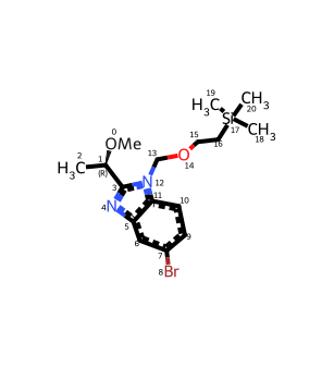 CO[C@H](C)c1nc2cc(Br)ccc2n1COCC[Si](C)(C)C